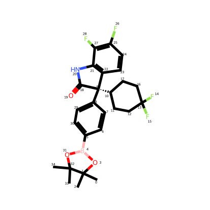 CC1(C)OB(c2ccc([C@@]3(C4CCC(F)(F)CC4)C(=O)Nc4c3ccc(F)c4F)cc2)OC1(C)C